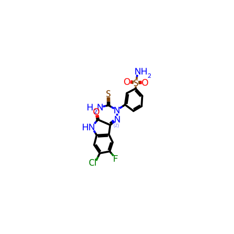 NC(=S)N(/N=C1\C(=O)Nc2cc(Cl)c(F)cc21)c1cccc(S(N)(=O)=O)c1